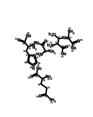 CC(N)C(=O)O.CC(O)C(N)C(=O)O.NC(=O)CCC(N)C(=O)O.NC(Cc1c[nH]cn1)C(=O)O.NCC(=O)O